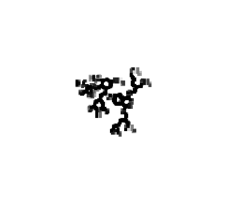 CC(O)C(=O)O.CCCCC(CC)COC(=O)c1ccccc1C(=O)OCC(CC)CCCC.C[C@@H]1C[C@@H]([C@H](O)CC2CC(=O)NC(=O)C2)C(=O)[C@@H](C)C1